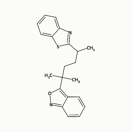 CC(CCC(C)(C)c1onc2ccccc12)c1nc2ccccc2s1